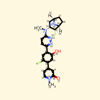 CN(c1ccc(-c2cc(F)c(-c3ccn(C)c(=O)c3)cc2O)nn1)[C@@H]1C[C@H]2CC[C@H](N2)[C@@H]1F